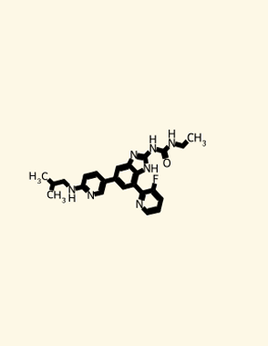 CCNC(=O)Nc1nc2cc(-c3ccc(NCC(C)C)nc3)cc(-c3ncccc3F)c2[nH]1